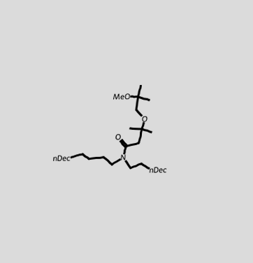 CCCCCCCCCCCCCCN(CCCCCCCCCCCC)C(=O)CC(C)(C)OCC(C)(C)OC